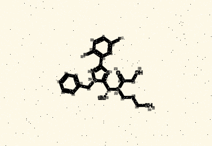 CC(C)(C)[C@H](c1nc(-c2cc(F)ccc2F)nn1Cc1ccccc1)N(CCCN)C(=O)CO